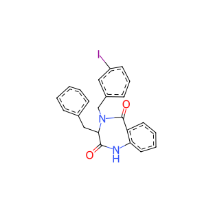 O=C1Nc2ccccc2C(=O)N(Cc2cccc(I)c2)C1Cc1ccccc1